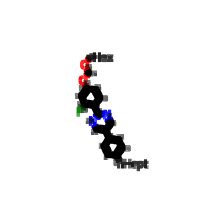 CCCCCCCc1ccc(-c2cnc(-c3ccc(OCOCCCCCC)cc3F)nc2)cc1